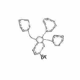 Brc1ccc2c(Cc3ccccc3)cc(-c3ccccc3)c(-c3ccccc3)c2c1